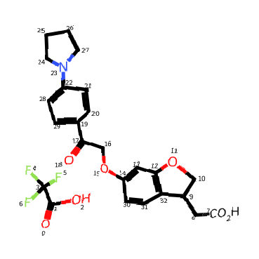 O=C(O)C(F)(F)F.O=C(O)CC1COc2cc(OCC(=O)c3ccc(N4CCCC4)cc3)ccc21